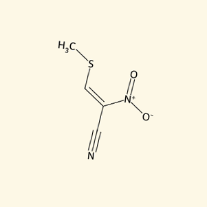 CSC=C(C#N)[N+](=O)[O-]